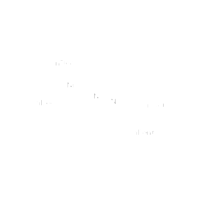 CCCCCCCCC1=C(c2cc(C)c(C)c(C)c2)[N+](=[N-])C(c2cc(C)c(C)c(C)c2)=C1CCCCC.CCCCCCCCCC[CH2][Ni][CH2]CCCCCCCCCC